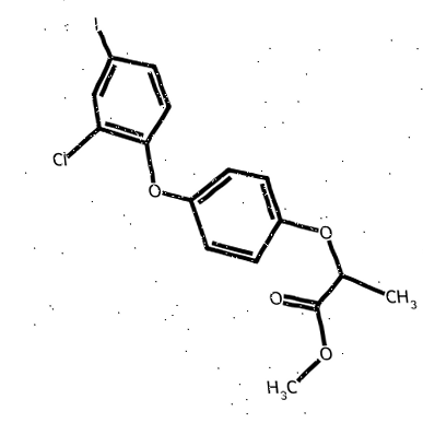 COC(=O)C(C)Oc1ccc(Oc2ccc(I)cc2Cl)cc1